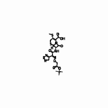 CSC1=C(C(=O)O)N2C(=O)C(NC(=O)C(=NOCC(=O)OC(C)(C)C)c3cnsn3)[C@@H]2SC1